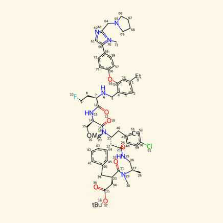 CCc1ccc(CN[C@H](CCF)C(=O)N[C@H](COC)C(=O)N(C)[C@@H](CC(=O)NC[C@@H](C)N(C)C(=O)[C@@H](CC(=O)OC(C)(C)C)Cc2ccccc2)Cc2ccc(Cl)cc2)c(Oc2ccc(-c3cnc(CN4CCCC4)n3C)cc2)c1